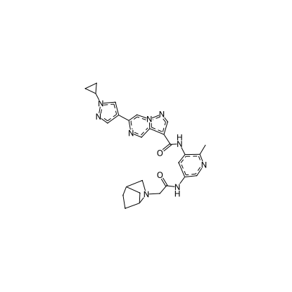 Cc1ncc(NC(=O)CN2CC3CCC2C3)cc1NC(=O)c1cnn2cc(-c3cnn(C4CC4)c3)ncc12